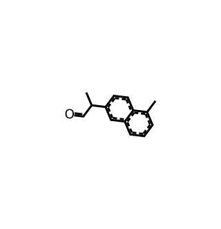 Cc1cccc2cc(C(C)C=O)ccc12